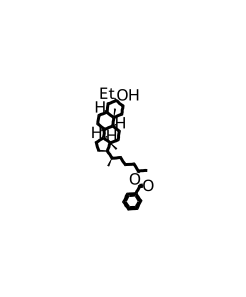 CC[C@]1(O)CC[C@@]2(C)[C@@H](CC[C@@H]3[C@@H]2CC[C@]2(C)[C@@H]([C@H](C)CCCC(C)OC(=O)c4ccccc4)CC[C@@H]32)C1